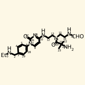 CCNCc1ccc(-n2ccc(NCCN(CCNC=O)C(=O)C(C)(C)N)nc2=O)cc1